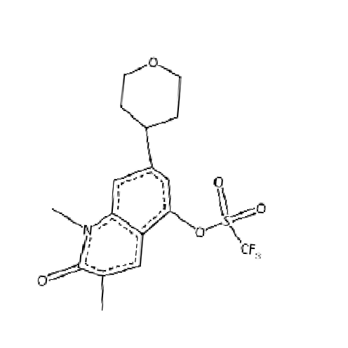 Cc1cc2c(OS(=O)(=O)C(F)(F)F)cc(C3CCOCC3)cc2n(C)c1=O